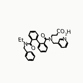 CCN(Cc1ccccc1)C(=O)c1ccccc1-c1ccccc1C(=O)N(CCC(=O)O)Cc1cccnc1